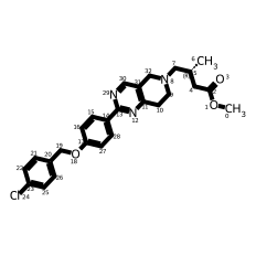 COC(=O)C[C@@H](C)CN1CCc2nc(-c3ccc(OCc4ccc(Cl)cc4)cc3)ncc2C1